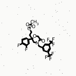 CS(=O)(=O)OCCC1(c2ccc(F)c(F)c2)CN(Cc2cc(C(F)(F)F)cc(C(F)(F)F)c2)C(=O)CO1